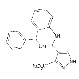 CCOC(=O)c1n[nH]cc1CNc1ccccc1C(O)c1ccccc1